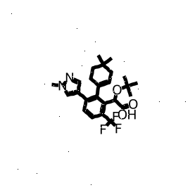 Cn1cc(-c2ccc(C(F)(F)F)c(C(OC(C)(C)C)C(=O)O)c2C2=CCC(C)(C)CC2)cn1